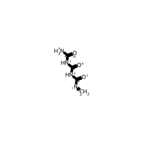 C=NC(=O)NC(=O)NC(N)=O